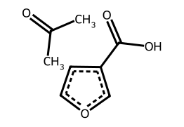 CC(C)=O.O=C(O)c1ccoc1